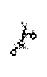 NO/C=C\Cc1cc(-c2ncc(NC(=O)c3ccccn3)c(N)n2)nn1Cc1ccccc1F